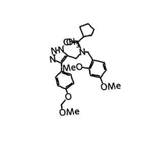 COCOc1ccc(-c2nnn(C)c2CN(Cc2ccc(OC)cc2OC)C(=O)C2CCCC2)cc1